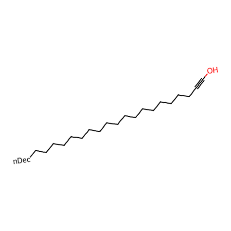 CCCCCCCCCCCCCCCCCCCCCCCCCCCCC#CO